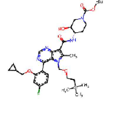 Cc1c(C(=O)N[C@H]2CCN(C(=O)OC(C)(C)C)C[C@@H]2O)c2ncnc(-c3ccc(F)cc3OCC3CC3)c2n1COCC[Si](C)(C)C